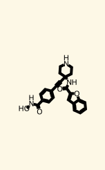 O=C(NO)c1ccc(C#CC2(NC(=O)c3cc4ccccc4o3)CCNCC2)cc1